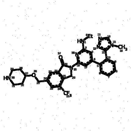 CCNc1cc(-c2ccccc2-c2nncn2C)cc(N2Cc3c(cc(COC4CCNCC4)cc3C(F)(F)F)C2=O)n1